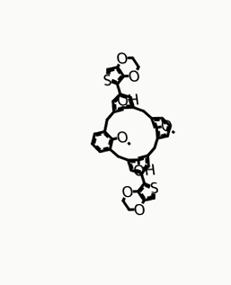 COc1c2cccc1Cc1cc(-c3scc4c3OCCO4)cc(c1O)Cc1cccc(c1OC)Cc1cc(-c3scc4c3OCCO4)cc(c1O)C2